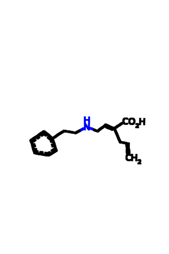 C=CCC(=CCNCCc1ccccc1)C(=O)O